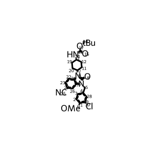 COc1ccc(Cn2c(=O)n([C@H]3CC[C@H](NC(=O)OC(C)(C)C)CC3)c3ccc(C#N)cc32)cc1Cl